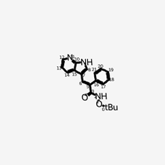 CC(C)(C)ONC(=O)C(=Cc1c[nH]c2ncccc12)c1ccccc1